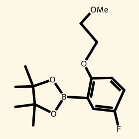 COCCOc1ccc(F)cc1B1OC(C)(C)C(C)(C)O1